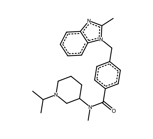 Cc1nc2ccccc2n1Cc1ccc(C(=O)N(C)C2CCCN(C(C)C)C2)cc1